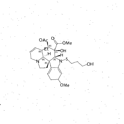 CC[C@]12C=CCN3CC[C@@]4(C5=CCC(OC)C=C5N(SCCCO)[C@H]4[C@@](O)(C(=O)OC)[C@@H]1OC(C)=O)[C@@H]32